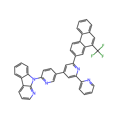 FC(F)(F)c1cc2ccccc2c2ccc(-c3cc(-c4ccc(-n5c6ccccc6c6cccnc65)nc4)cc(-c4ccccn4)n3)cc12